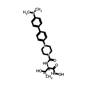 C[C@H](O)[C@@H](NC(=O)N1CCN(c2ccc(-c3ccc(N(C)C)cc3)cc2)CC1)C(=O)NO